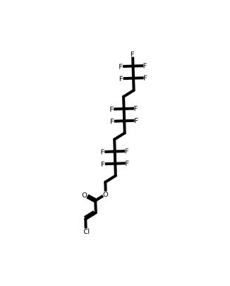 O=C(C=CCl)OCCC(F)(F)C(F)(F)CCC(F)(F)C(F)(F)CCC(F)(F)C(F)(F)F